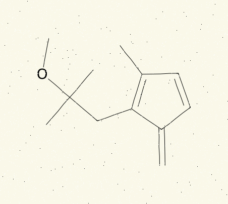 C=C1C=CC(C)=C1CC(C)(C)OC